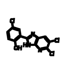 Oc1ccc(Cl)cc1-c1nc2cc(Cl)c(Cl)nc2[nH]1